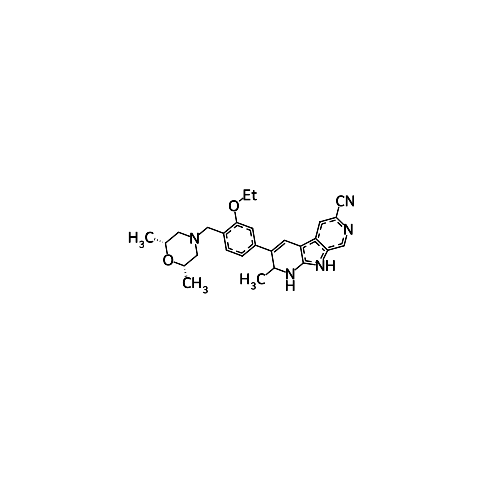 CCOc1cc(C2=Cc3c([nH]c4cnc(C#N)cc34)NC2C)ccc1CN1C[C@@H](C)O[C@@H](C)C1